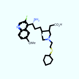 COc1ccc2ncc(F)c([C@H](N)CCC3CCN(CCSC4CCCCC4)CC3CC(=O)O)c2c1